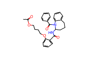 CC(=O)OCCCCOc1ccccc1C(=O)NC1CCCc2ccccc2N1C(=O)c1ccccc1